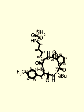 CC[C@@H](C)[C@@H]1NC(=O)C(Cc2ccc(C(F)(F)F)cc2)NC(=O)[C@H](CCCCNS(N)(=O)=O)NC(=O)[C@H]2CCCN2C1=O